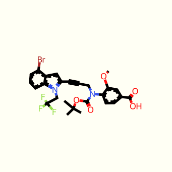 COc1cc(C(=O)O)ccc1N(CC#Cc1cc2c(Br)cccc2n1CC(F)(F)F)C(=O)OC(C)(C)C